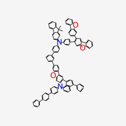 CC1(C)c2ccccc2-c2ccc(N(c3ccc(-c4cccc(-c5ccc6c(c5)oc5cc(N(c7ccccc7)c7ccc(-c8ccc(-c9ccccc9)cc8)cc7)c(-c7ccc(-c8ccccc8)cc7)cc56)c4)cc3)c3ccc(-c4cc5oc6ccccc6c5cc4-c4ccc5c(c4)oc4ccccc45)cc3)cc21